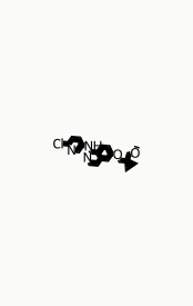 COCC1(COc2ccc3c(Nc4ccc(Cl)nc4)nccc3c2)CC1